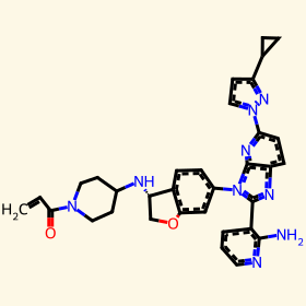 C=CC(=O)N1CCC(N[C@H]2COc3cc(-n4c(-c5cccnc5N)nc5ccc(-n6ccc(C7CC7)n6)nc54)ccc32)CC1